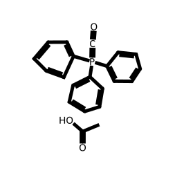 CC(=O)O.O=C=P(c1ccccc1)(c1ccccc1)c1ccccc1